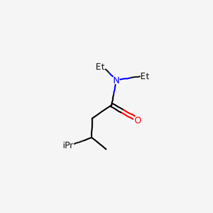 CCN(CC)C(=O)CC(C)C(C)C